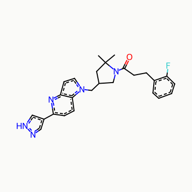 CC1(C)CC(Cn2ccc3nc(-c4cn[nH]c4)ccc32)CN1C(=O)CCc1ccccc1F